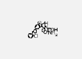 Cc1oc2ccc(OCc3ccccc3Cl)cc2c1C(=O)N[C@@H](CO)C(N)=O